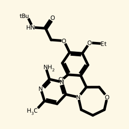 CCOc1cc(C2COCCCN2c2cc(C)nc(N)n2)c(Cl)cc1OCC(=O)NC(C)(C)C